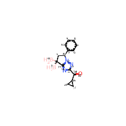 BC1(B)C[C@@H](c2ccccc2)n2nc(C(=O)C3CC3)nc21